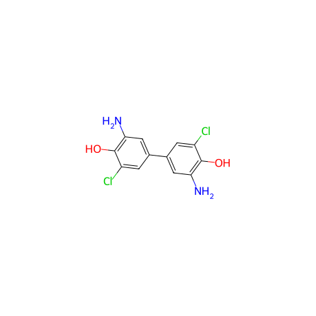 Nc1cc(-c2cc(N)c(O)c(Cl)c2)cc(Cl)c1O